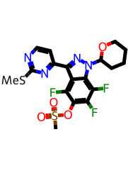 CSc1nccc(-c2nn(C3CCCCO3)c3c(F)c(F)c(OS(C)(=O)=O)c(F)c23)n1